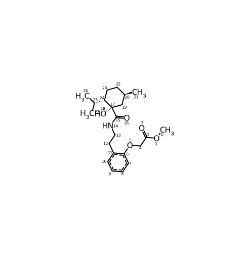 COC(=O)COc1ccccc1CCNC(=O)[C@]1(O)C[C@H](C)CC[C@H]1C(C)C